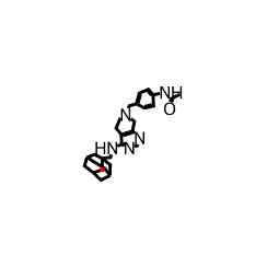 CC(=O)Nc1ccc(CN2CCc3c(ncnc3NCC34CC5CC(CC(C5)C3)C4)C2)cc1